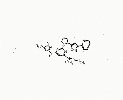 COCCN(C)c1cc(Nc2cc(C)[nH]n2)nc(N2CCCC2c2cc(-c3ccccn3)no2)n1